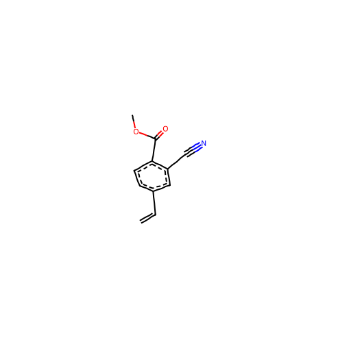 C=Cc1ccc(C(=O)OC)c(C#N)c1